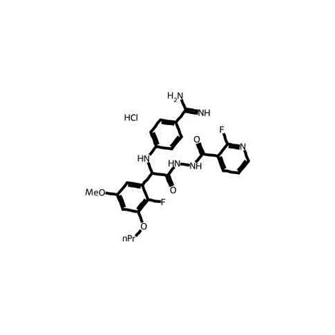 CCCOc1cc(OC)cc(C(Nc2ccc(C(=N)N)cc2)C(=O)NNC(=O)c2cccnc2F)c1F.Cl